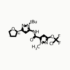 Cn1nc(OC(F)(F)Cl)cc1C(=O)Nc1cc([C@H]2C[CH]CO2)nn1C(C)(C)C